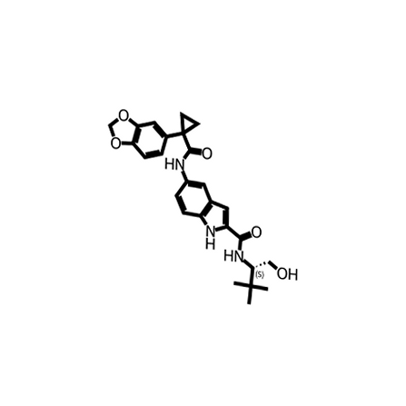 CC(C)(C)[C@@H](CO)NC(=O)c1cc2cc(NC(=O)C3(c4ccc5c(c4)OCO5)CC3)ccc2[nH]1